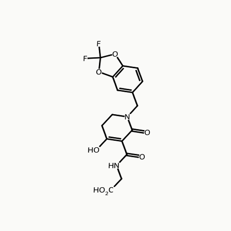 O=C(O)CNC(=O)C1=C(O)CCN(Cc2ccc3c(c2)OC(F)(F)O3)C1=O